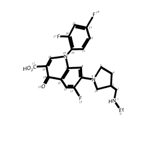 CCNCC1CCN(c2cc3c(cc2F)c(=O)c(C(=O)O)cn3-c2ccc(F)cc2F)C1